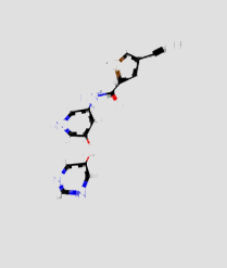 C#Cc1csc(C(=O)Nc2cncc(Oc3cncnc3)c2)c1